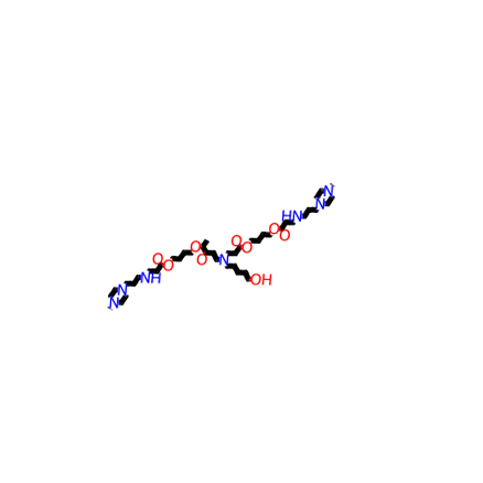 CC(OCCCCOC(=O)CCNCCCN1CCN(C)CC1)C(=O)CCN(CCCCCO)CCC(=O)OCCCCOC(=O)CCNCCCN1CCN(C)CC1